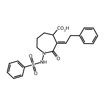 O=C(O)C1CCCN(NS(=O)(=O)c2ccccc2)C(=O)/C1=C/Cc1ccccc1